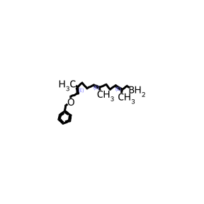 BC/C(C)=C/CC/C(C)=C/CC/C(C)=C/COCc1ccccc1